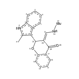 Cc1[nH]c2ccccc2c1C1Oc2ccccc2C(=O)C1=CNC(C)(C)C